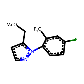 COCc1[c]cnn1-c1ccc(F)cc1C(F)(F)F